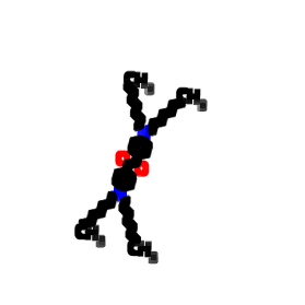 CCCCCCCCN(CCCCCCCC)c1ccc(C(=O)C(=O)c2ccc(N(CCCCCCCC)CCCCCCCC)cc2)cc1